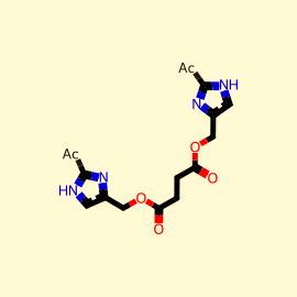 CC(=O)c1nc(COC(=O)CCC(=O)OCc2c[nH]c(C(C)=O)n2)c[nH]1